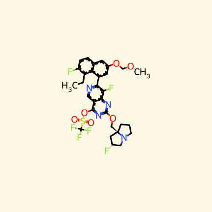 CCc1c(F)ccc2cc(OCOC)cc(-c3ncc4c(OS(=O)(=O)C(F)(F)F)nc(OC[C@@]56CCCN5C[C@H](F)C6)nc4c3F)c12